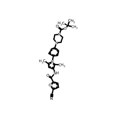 Cc1cc(NC(=O)c2ccc(C#N)o2)c(C)n1-c1ccc(N2CCN(C(=O)OC(C)(C)C)CC2)cc1